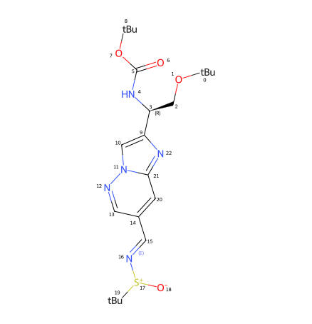 CC(C)(C)OC[C@H](NC(=O)OC(C)(C)C)c1cn2ncc(/C=N/[S+]([O-])C(C)(C)C)cc2n1